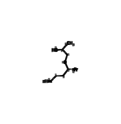 CCCCCCCCC(CCC)OCC(C)O